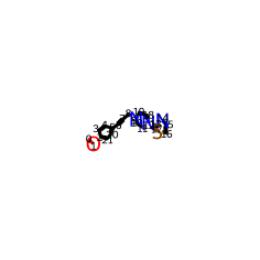 COc1ccc(C#CCN2CCN(c3nccs3)CC2)cc1